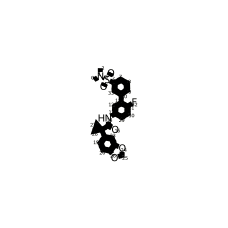 CN(C)S(=O)(=O)c1cccc(-c2cc(NC(=O)C3(c4ccc5c(c4)OCO5)CC3)ccc2F)c1